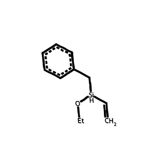 C=C[SiH](Cc1ccccc1)OCC